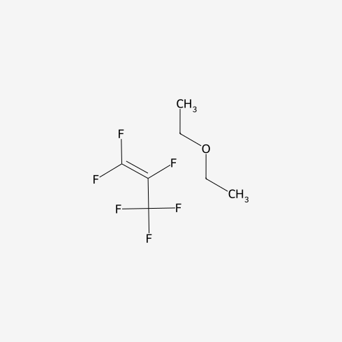 CCOCC.FC(F)=C(F)C(F)(F)F